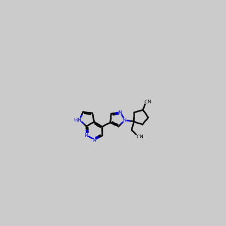 N#CCC1(n2cc(-c3cnnc4[nH]ccc34)cn2)CCC(C#N)C1